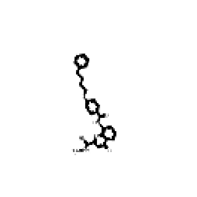 N=C(NN)c1cc(=O)c2cccc(NC(=O)c3ccc(OCCCCc4ccccc4)cc3)c2o1